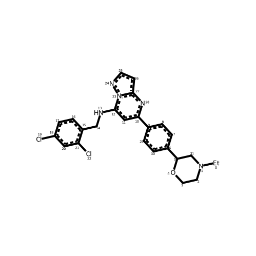 CCN1CCOC(c2ccc(-c3cc(NCc4ccc(Cl)cc4Cl)n4nccc4n3)cc2)C1